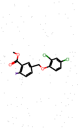 COC(=O)c1cc(COc2ccc(Cl)cc2Cl)ccc1I